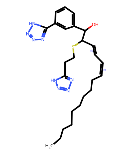 CCCCCCCCC/C=C\C=C\C(SCCc1nnn[nH]1)C(O)c1cccc(-c2nnn[nH]2)c1